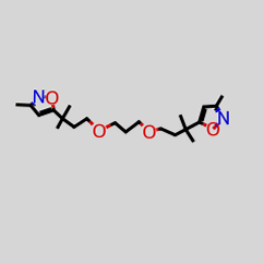 Cc1cc(C(C)(C)CCOCCCOCCC(C)(C)c2cc(C)no2)on1